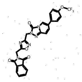 O=C1c2ccccc2C(=O)N1Cc1nc(Cn2nc3ccc(-c4ccc(OC(F)(F)F)cc4)cn3c2=O)no1